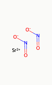 O=N[O-].O=N[O-].[Sr+2]